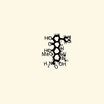 CO[C@@]12CC(C(N)=O)=C(O)[C@@H](N(C)C)[C@@H]1C[C@@H]1Cc3c(-c4cnoc4)ccc(O)c3C(=O)C1=C2O